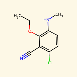 CCOc1c(NC)ccc(Cl)c1C#N